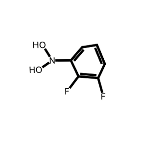 ON(O)c1cccc(F)c1F